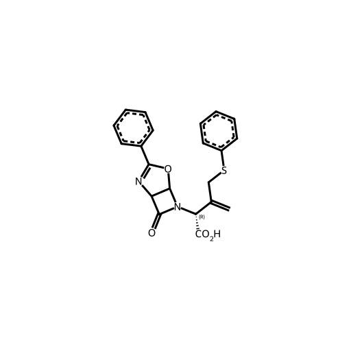 C=C(CSc1ccccc1)[C@H](C(=O)O)N1C(=O)C2N=C(c3ccccc3)OC21